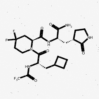 NC(=O)[C@H](C[C@@H]1CCNC1=O)NC(=O)[C@@H]1CC(F)(F)CCN1C(=O)[C@H](CC1CCC1)NC(=O)C(F)(F)F